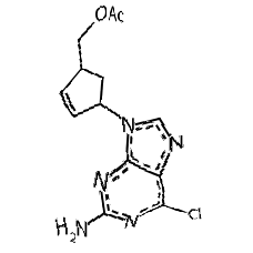 CC(=O)OCC1C=CC(n2cnc3c(Cl)nc(N)nc32)C1